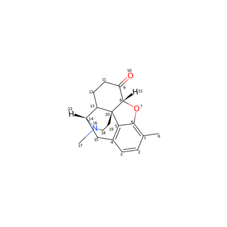 Cc1ccc2c3c1O[C@H]1C(=O)CCC4[C@@H](C2)N(C)CC[C@@]341